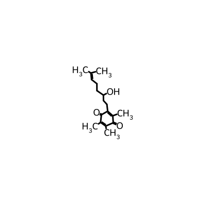 CC(C)=CCCC(O)CCC1=C(C)C(=O)C(C)=C(C)C1=O